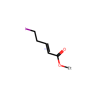 CCOC(=O)/C=C/CCI